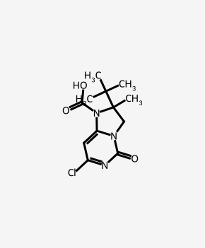 CC(C)(C)C1(C)Cn2c(cc(Cl)nc2=O)N1C(=O)O